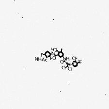 CC(=O)Nc1c(F)ccc(NC(=O)c2cc(NC(=O)[C@H]3[C@H](c4ccc(F)c(C(F)(F)F)c4)C3(Cl)Cl)cc(C)c2Cl)c1F